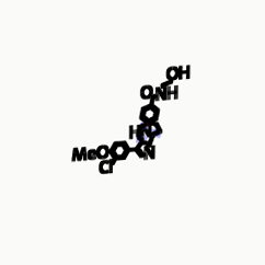 COc1ccc(C2=CN=C3/C(Nc4ccc(C(=O)NCCO)cc4)=C/C/C=C\C=C\23)cc1Cl